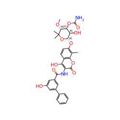 CO[C@@H]1[C@@H](OC(N)=O)[C@@H](O)[C@H](Oc2ccc3c(O)c(NC(=O)c4cc(O)cc(-c5ccccc5)c4)c(=O)oc3c2C)OC1(C)C